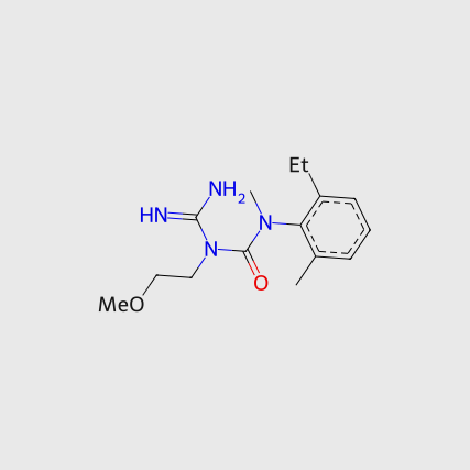 CCc1cccc(C)c1N(C)C(=O)N(CCOC)C(=N)N